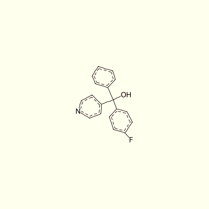 OC(c1ccccc1)(c1ccncc1)c1ccc(F)cc1